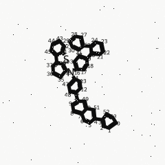 c1ccc(-c2ccc3ccc(-c4ccc(N(c5ccc(-c6ccccc6-c6ccccc6)cc5)c5cccc6c5sc5ccccc56)cc4)cc3c2)cc1